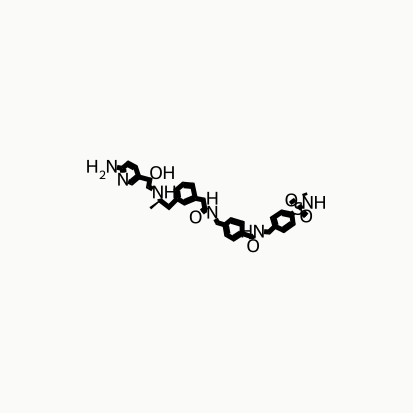 CNS(=O)(=O)c1ccc(CNC(=O)c2ccc(CNC(=O)Cc3cccc(C[C@@H](C)NC[C@H](O)c4ccc(N)nc4)c3)cc2)cc1